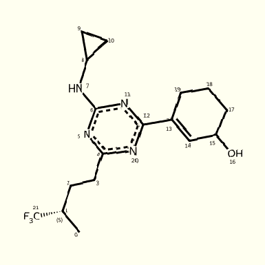 C[C@@H](CCc1nc(NC2CC2)nc(C2=CC(O)CCC2)n1)C(F)(F)F